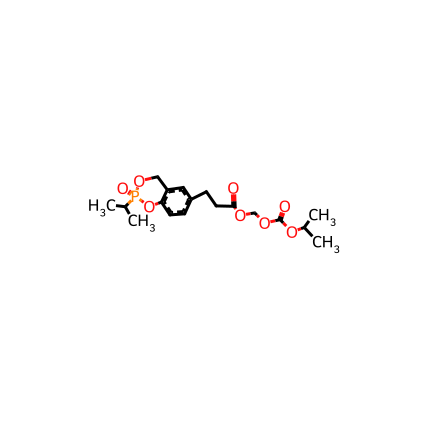 CC(C)OC(=O)OCOC(=O)CCc1ccc2c(c1)COP(=O)(C(C)C)O2